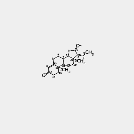 CC=C1C(=O)CC2C3CCC4=CC(=O)CCC4(C)C3CCC12C